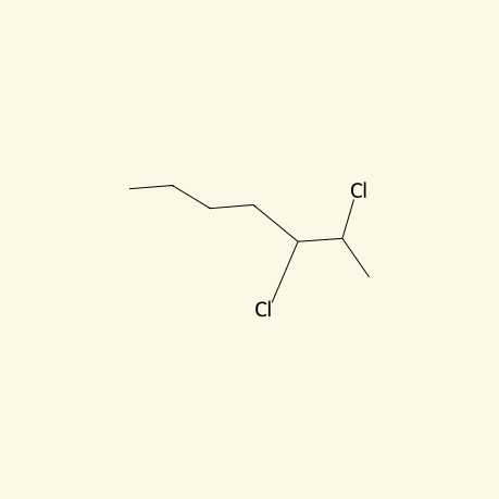 CCCCC(Cl)C(C)Cl